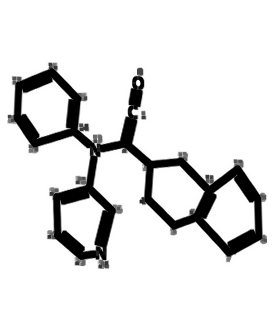 O=C=C(C1CCc2[c]cccc2C1)N(c1ccccc1)c1cccnc1